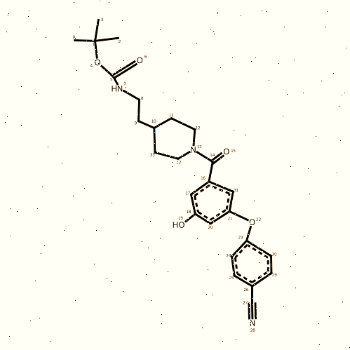 CC(C)(C)OC(=O)NCCC1CCN(C(=O)c2cc(O)cc(Oc3ccc(C#N)cc3)c2)CC1